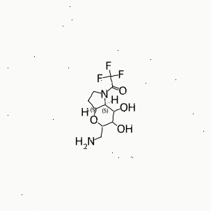 NCC1O[C@H]2CCN(C(=O)C(F)(F)F)[C@H]2C(O)C1O